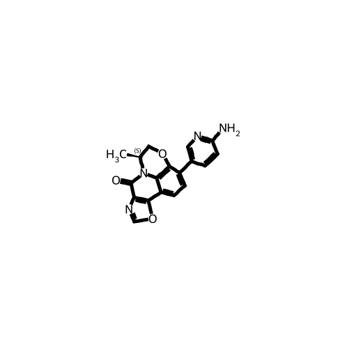 C[C@H]1COc2c(-c3ccc(N)nc3)ccc3c4ocnc4c(=O)n1c23